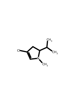 CC(C)C1CC(Cl)=CN1C